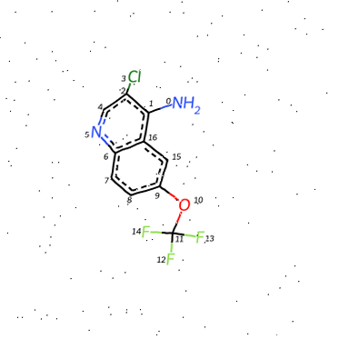 Nc1c(Cl)cnc2ccc(OC(F)(F)F)cc12